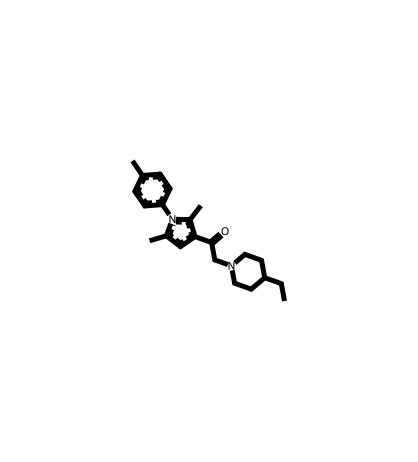 CCC1CCN(CC(=O)c2cc(C)n(-c3ccc(C)cc3)c2C)CC1